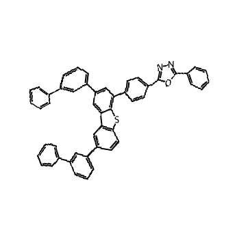 c1ccc(-c2cccc(-c3ccc4sc5c(-c6ccc(-c7nnc(-c8ccccc8)o7)cc6)cc(-c6cccc(-c7ccccc7)c6)cc5c4c3)c2)cc1